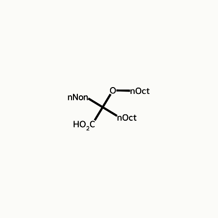 CCCCCCCCCC(CCCCCCCC)(OCCCCCCCC)C(=O)O